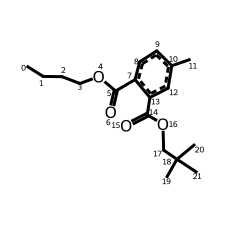 CCCCOC(=O)c1ccc(C)cc1C(=O)OCC(C)(C)C